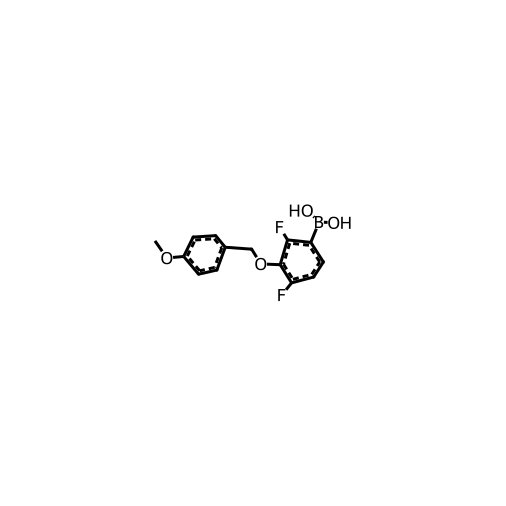 COc1ccc(COc2c(F)ccc(B(O)O)c2F)cc1